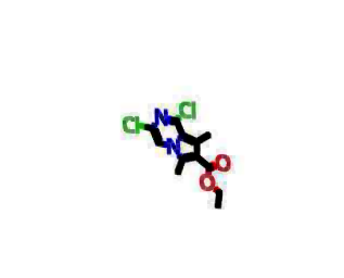 CCOC(=O)c1c(C)c2c(Cl)nc(Cl)cn2c1C